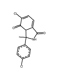 CC1(c2ccc(Cl)cc2)NC(=O)C2=CC=C(Cl)C(=O)C21